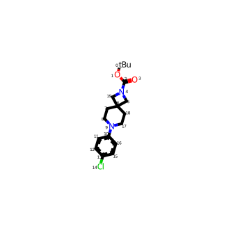 CC(C)(C)OC(=O)N1CC2(CCN(c3ccc(Cl)cc3)CC2)C1